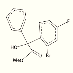 COC(=O)C(O)(c1ccccc1)c1ccc(F)cc1Br